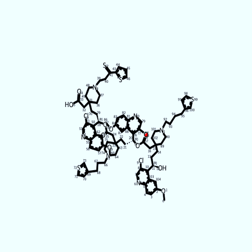 COc1ccc2ncc(Cl)c([C@H](O)CCC3(CC(=O)O[C@H](CCC4(CC(=O)O[C@H](CCC5(CC(=O)O)CCN(CCC(=S)c6cccs6)CC5)c5c(Cl)cnc6ccc(OC)cc56)CCN(CCCc5ccsc5)CC4)c4c(Cl)cnc5ccc(OC)cc45)CCN(CCCCc4ccsc4)CC3)c2c1